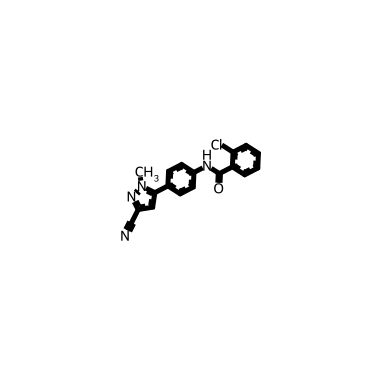 Cn1nc(C#N)cc1-c1ccc(NC(=O)c2ccccc2Cl)cc1